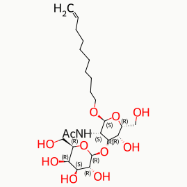 C=CCCCCCCCCO[C@H]1O[C@H](CO)[C@H](O)[C@H](O[C@@H]2O[C@H](CO)[C@H](O)[C@H](O)[C@H]2O)[C@@H]1NC(C)=O